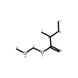 C=C(OCOC)C(C)CC